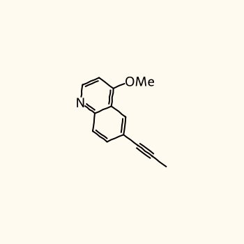 CC#Cc1ccc2nccc(OC)c2c1